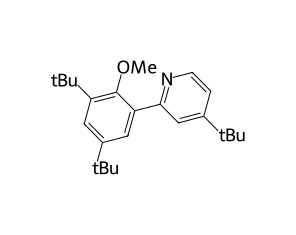 COc1c(-c2cc(C(C)(C)C)ccn2)cc(C(C)(C)C)cc1C(C)(C)C